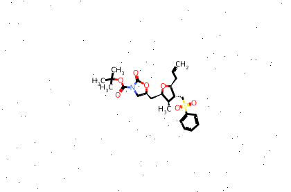 C=CC[C@@H]1O[C@H](C[C@H]2CN(C(=O)OC(C)(C)C)C(=O)O2)[C@H](C)[C@H]1CS(=O)(=O)c1ccccc1